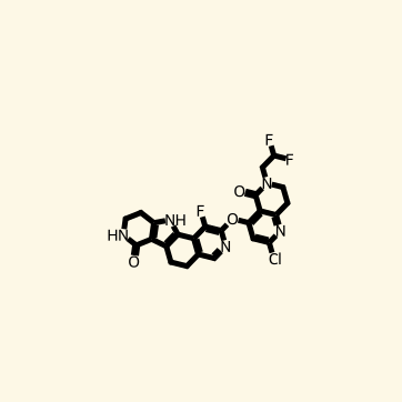 O=C1NCCc2[nH]c3c(c21)CCc1cnc(Oc2cc(Cl)nc4c2C(=O)N(CC(F)F)CC4)c(F)c1-3